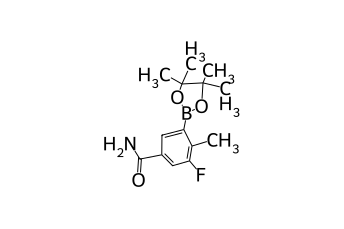 Cc1c(F)cc(C(N)=O)cc1B1OC(C)(C)C(C)(C)O1